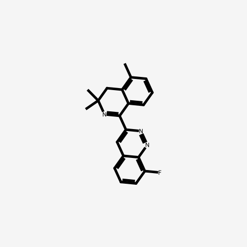 Cc1cccc2c1CC(C)(C)N=C2c1cc2cccc(F)c2nn1